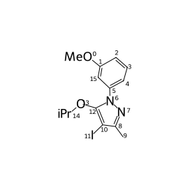 COc1cccc(-n2nc(C)c(I)c2OC(C)C)c1